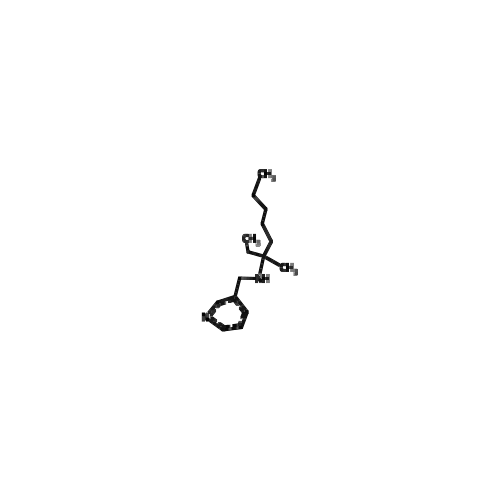 CCCCCC(C)(CC)NCc1cccnc1